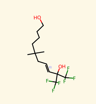 CC(C)(C/C=C/C(O)(C(F)(F)F)C(F)(F)F)CCCCO